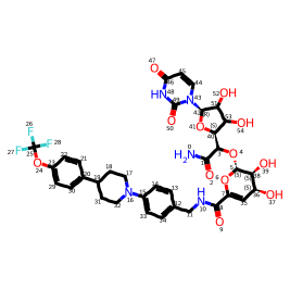 NC(=O)C(O[C@H]1OC(C(=O)NCc2ccc(N3CCC(c4ccc(OC(F)(F)F)cc4)CC3)cc2)=C[C@H](O)[C@@H]1O)[C@H]1O[C@@H](n2ccc(=O)[nH]c2=O)C(O)C1O